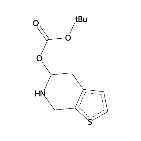 CC(C)(C)OC(=O)OC1Cc2ccsc2CN1